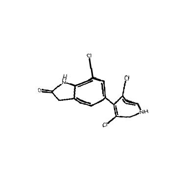 O=C1Cc2cc(C3=C(Cl)CNC=C3Cl)cc(Cl)c2N1